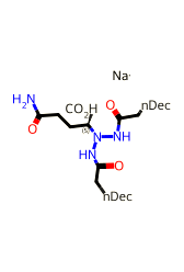 CCCCCCCCCCCC(=O)NN(NC(=O)CCCCCCCCCCC)[C@@H](CCC(N)=O)C(=O)O.[Na]